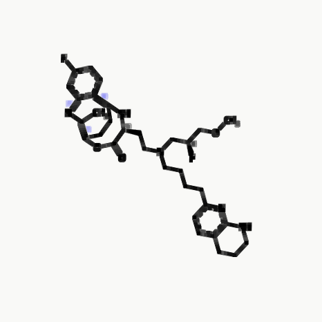 COC[C@@H](F)CN(CCCCc1ccc2c(n1)NCCC2)CC[C@@H]1N\C2=c3/ccc(F)c/c3=N/C(C)=C(/CC2)OC1=O